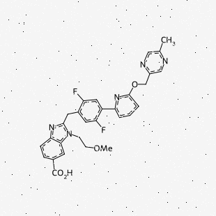 COCCn1c(Cc2cc(F)c(-c3cccc(OCc4cnc(C)cn4)n3)cc2F)nc2ccc(C(=O)O)cc21